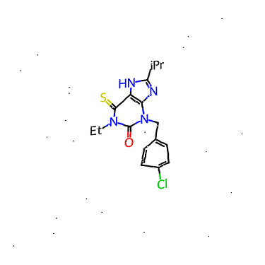 CCn1c(=S)c2[nH]c(C(C)C)nc2n(Cc2ccc(Cl)cc2)c1=O